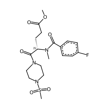 COC(=O)CC[C@@H](C(=O)N1CCN(S(C)(=O)=O)CC1)N(C)C(=O)c1ccc(F)cc1